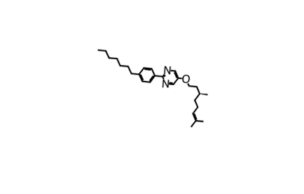 CCCCCCCc1ccc(-c2ncc(OCC[C@@H](C)CCC=C(C)C)cn2)cc1